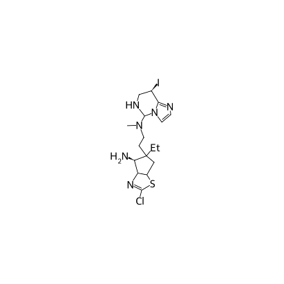 CCC1(CCN(C)C2NC[C@@H](I)c3nccn32)CC2SC(Cl)=NC2[C@H]1N